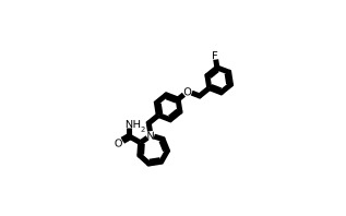 NC(=O)C1=CC=CC=CN1Cc1ccc(OCc2cccc(F)c2)cc1